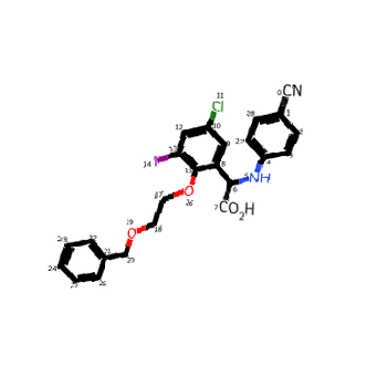 N#Cc1ccc(NC(C(=O)O)c2cc(Cl)cc(I)c2OCCOCc2ccccc2)cc1